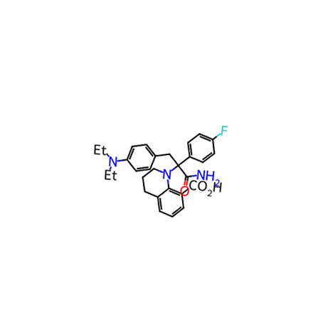 CCN(CC)c1ccc(CC(C(N)=O)(c2ccc(F)cc2)N2CCCc3cccc(C(=O)O)c32)cc1